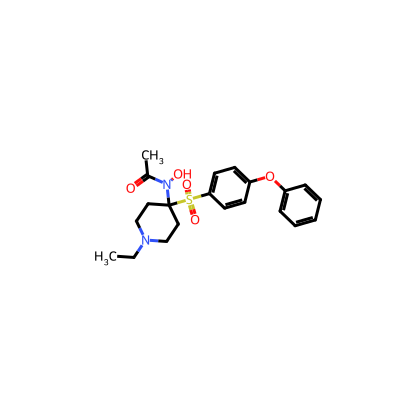 CCN1CCC(N(O)C(C)=O)(S(=O)(=O)c2ccc(Oc3ccccc3)cc2)CC1